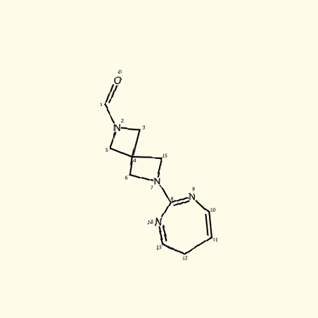 O=CN1CC2(C1)CN(C1=NC=CCC=N1)C2